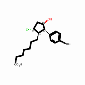 CC(C)(C)c1ccc([C@@H]2[C@@H](CCCCCCC(=O)O)[C@H](Cl)C[C@H]2O)cc1